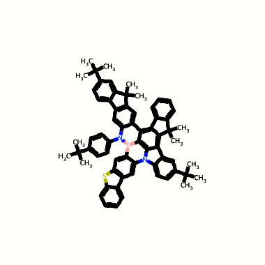 CC(C)(C)c1ccc(N2B3c4cc5sc6ccccc6c5cc4-n4c5ccc(C(C)(C)C)cc5c5c6c(c(c3c54)-c3cc4c(cc32)-c2ccc(C(C)(C)C)cc2C4(C)C)-c2ccccc2C6(C)C)cc1